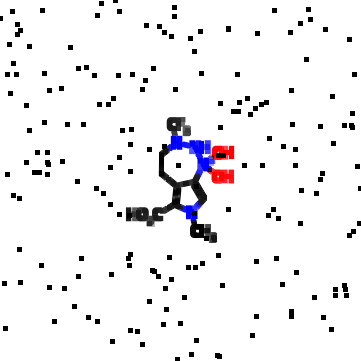 Cn1cc2c(c1C(=O)O)CCN(C(F)(F)F)N[N+]2(O)O